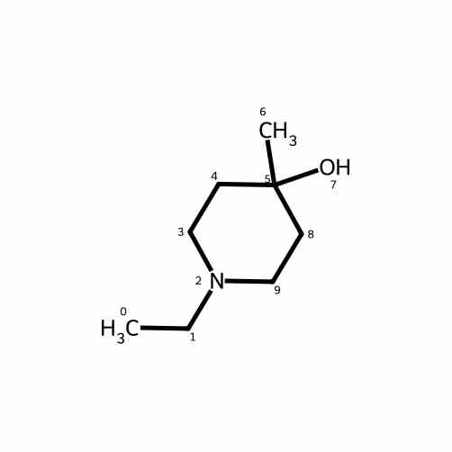 CCN1CCC(C)(O)CC1